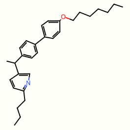 CCCCCCCOc1ccc(-c2ccc(C(C)c3ccc(CCCC)nc3)cc2)cc1